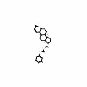 CC(NC(=O)Nc1cccc(Cl)c1)[C@H]1CC[C@H]2[C@@H]3CC[C@H]4NC(=O)C=C[C@]4(C)[C@H]3CC[C@]12C